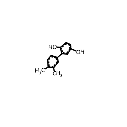 Cc1ccc(-c2cc(O)ccc2O)cc1C